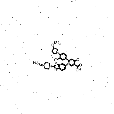 CCN1CCN(c2nc3ccc(-n4cc(C(=O)O)c(=O)cc4-c4ccc(N5CCC(OC)C5)c(Cl)c4)cc3s2)CC1